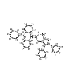 c1ccc(-c2nc3ncc(N4c5ccccc5N(c5ccccc5)c5ccccc54)cn3c2-c2ccccc2)cc1